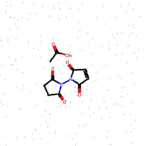 CC(=O)O.O=C1C=CC(=O)N1N1C(=O)CCC1=O